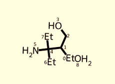 CCC(CO)C(N)(CC)CC.O